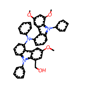 COc1cc(CO)c2c(c1)c1c(N(c3ccccc3)c3cccc4c3c3cc(OC)cc(OC)c3n4-c3ccccc3)cccc1n2-c1ccccc1